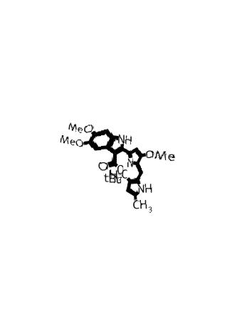 COC1=CC(c2[nH]c3cc(OC)c(OC)cc3c2C(=O)OC(C)(C)C)=NC1=Cc1[nH]c(C)cc1C